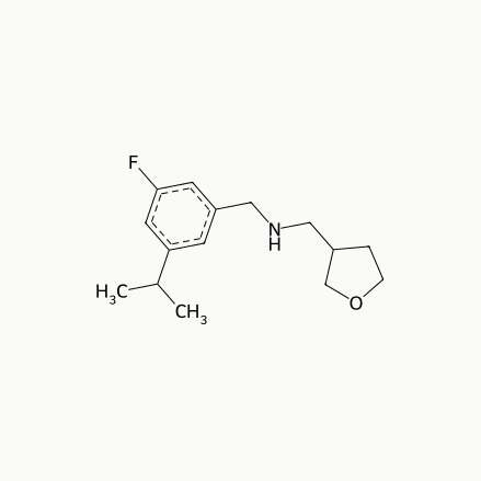 CC(C)c1cc(F)cc(CNCC2CCOC2)c1